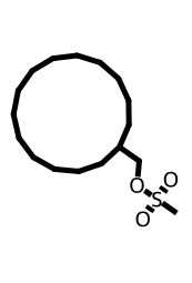 CS(=O)(=O)OCC1CCCCCCCCCCCCCC1